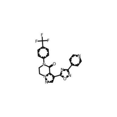 O=C1c2c(-c3nc(-c4ccncc4)no3)cnn2CCN1c1ccc(C(F)(F)F)cc1